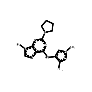 Cc1nn(C)cc1Nc1nc(N2CCCC2)nc2c1ncn2C(C)C